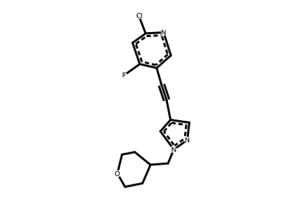 Fc1cc(Cl)ncc1C#Cc1cnn(CC2CCOCC2)c1